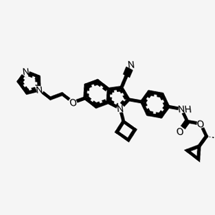 C[C@@H](OC(=O)Nc1ccc(-c2c(C#N)c3ccc(OCCn4ccnc4)cc3n2C2CCC2)cc1)C1CC1